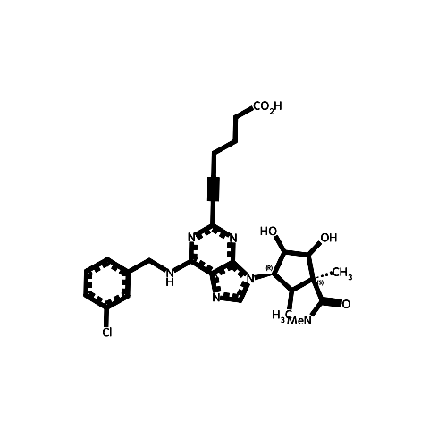 CNC(=O)[C@]1(C)C(O)C(O)[C@H](n2cnc3c(NCc4cccc(Cl)c4)nc(C#CCCCC(=O)O)nc32)C1C